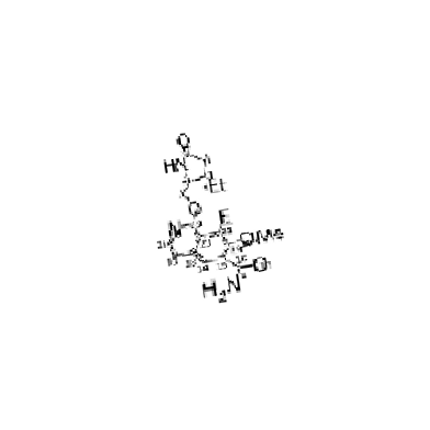 CCC1CC(=O)NC1COc1nccc2cc(C(N)=O)c(OC)c(F)c12